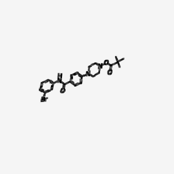 CC(C)(C)C(=O)ON1CCN(c2ccc(C(=O)Nc3cccc(Br)c3)cc2)CC1